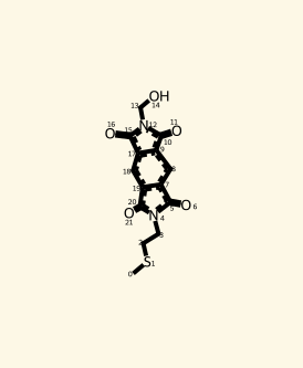 CSCCn1c(=O)c2cc3c(=O)n(CO)c(=O)c3cc2c1=O